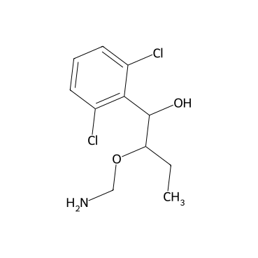 CCC(OCN)C(O)c1c(Cl)cccc1Cl